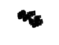 COc1cc(C(=O)N(C)CC(CCN2CCC(C(=O)c3nc4ccccc4n3Cc3ccc(C)o3)CC2)c2cccc(Cl)c2)cc(OC)c1OC